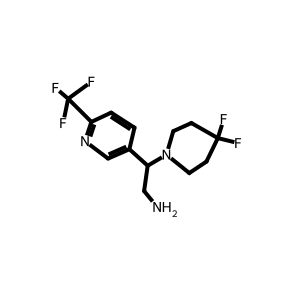 NCC(c1ccc(C(F)(F)F)nc1)N1CCC(F)(F)CC1